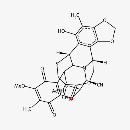 COC1=C(C)C(=O)C2=C(C1=O)C1C3[C@@H]4SCC(NC(C)=O)C(=O)OC[C@@H](c5c6c(c(C)c(O)c54)OCO6)N3[C@@H](C#N)C(C2)N1C